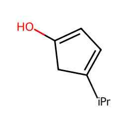 CC(C)C1=CC=C(O)C1